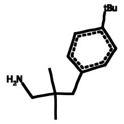 CC(C)(CN)Cc1ccc(C(C)(C)C)cc1